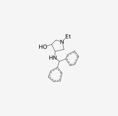 CCN1CC(O)C(NC(c2ccccc2)c2ccccc2)C1